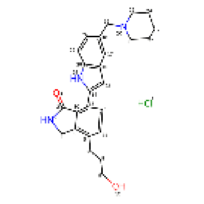 Cl.O=C1NCc2c(CCCO)ccc(-c3cc4cc(CN5CCCCC5)ccc4[nH]3)c21